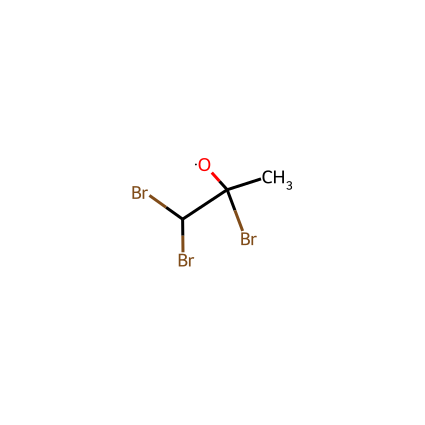 CC([O])(Br)C(Br)Br